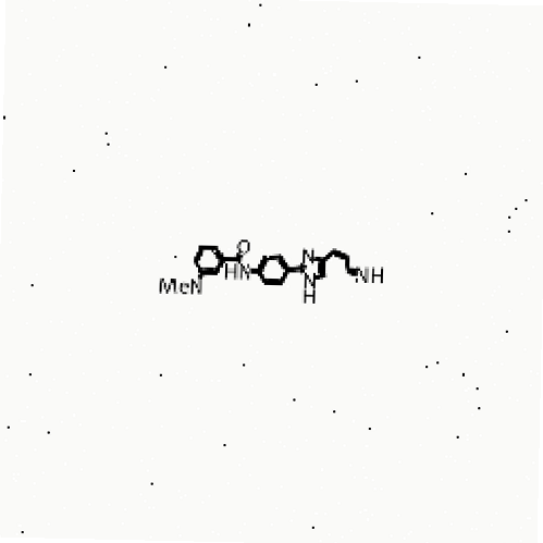 CNc1cccc(C(=O)Nc2ccc(-c3nc(/C=C\C=N)c[nH]3)cc2)c1